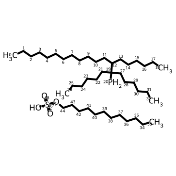 CCCCCCCCCCCCC(CCCCCC)C(P)(CCCCCC)CCCCCC.CCCCCCCCCCCCOS(=O)(=O)O